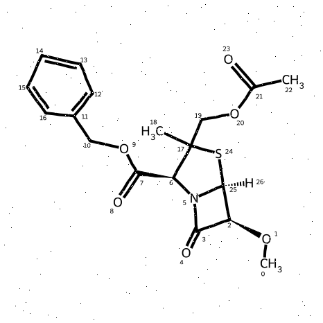 CO[C@H]1C(=O)N2[C@@H](C(=O)OCc3ccccc3)C(C)(COC(C)=O)S[C@@H]12